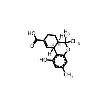 Cc1cc(O)c2c(c1)OC(C)(C)[C@@H]1CCC(C(=O)O)=C[C@@H]21